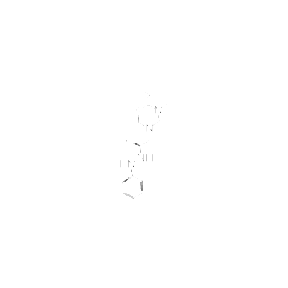 CN1CN(CC(=O)NNc2ccccc2)CSC1S